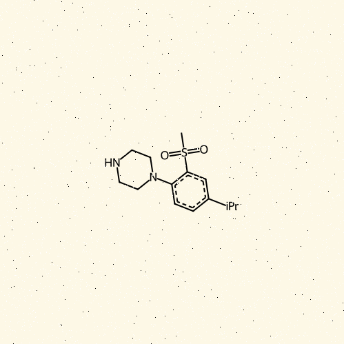 CC(C)c1ccc(N2CCNCC2)c(S(C)(=O)=O)c1